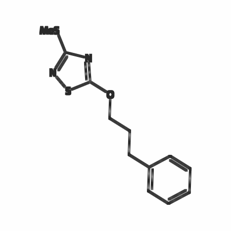 CSc1nsc(OCCCc2ccccc2)n1